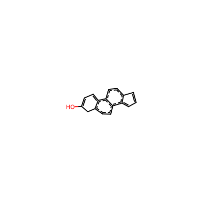 OC1=CC=c2c(ccc3c4c(ccc23)C=CC=4)C1